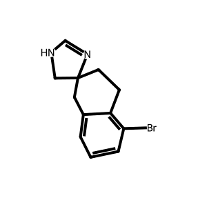 Brc1cccc2c1CCC1(CNC=N1)C2